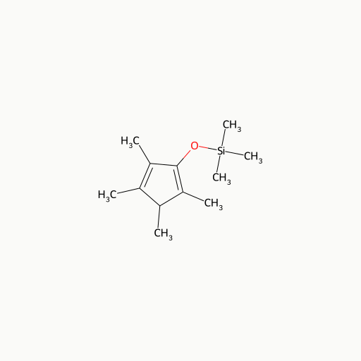 CC1=C(C)C(C)C(C)=C1O[Si](C)(C)C